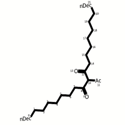 CCCCCCCCCCCCCCCCCC(=O)C(C(C)=O)C(=O)CCCCCCCCCCCCCCCCC